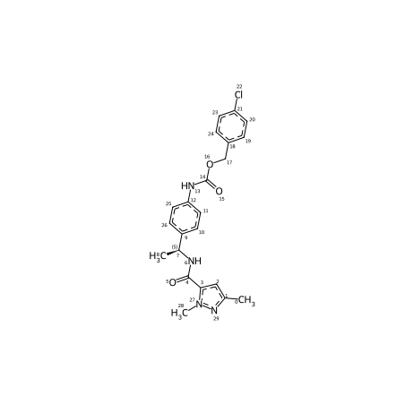 Cc1cc(C(=O)N[C@@H](C)c2ccc(NC(=O)OCc3ccc(Cl)cc3)cc2)n(C)n1